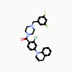 O=C(c1ccc(N2C=CCc3ccccc32)cc1Cl)N1CCN(Cc2cc(F)cc(F)c2)CC1